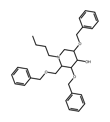 CCCCN1CC(OCc2ccccc2)C(O)C(OCc2ccccc2)C1COCc1ccccc1